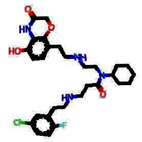 O=C1COc2c(CCNCCN(C(=O)CCNCCc3cc(Cl)ccc3F)C3CCCCC3)ccc(O)c2N1